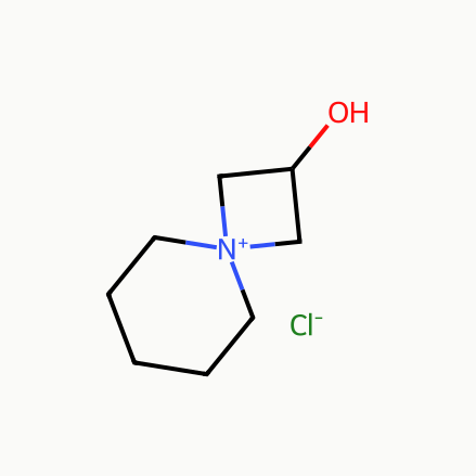 OC1C[N+]2(CCCCC2)C1.[Cl-]